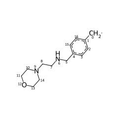 [CH2]c1ccc(CNCCN2CCOCC2)cc1